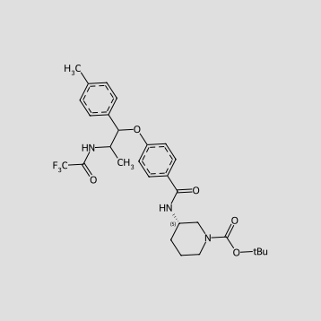 Cc1ccc(C(Oc2ccc(C(=O)N[C@H]3CCCN(C(=O)OC(C)(C)C)C3)cc2)C(C)NC(=O)C(F)(F)F)cc1